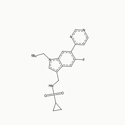 CC(C)(C)Cn1cc(CNS(=O)(=O)C2CC2)c2cc(F)c(-c3ccncn3)cc21